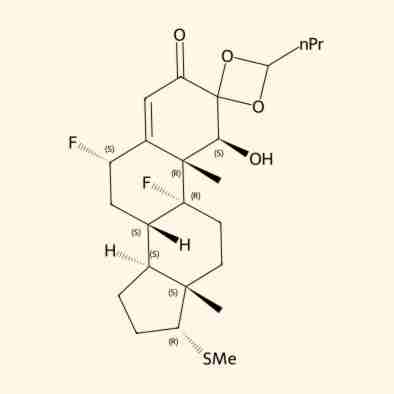 CCCC1OC2(O1)C(=O)C=C1[C@@H](F)C[C@H]3[C@@H]4CC[C@@H](SC)[C@@]4(C)CC[C@]3(F)[C@@]1(C)[C@@H]2O